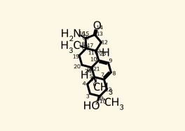 C[C@]1(O)CC[C@@]2(C)C(=CC=C3[C@@H]4CC(=O)[C@H](N)[C@@]4(C)CC[C@@H]32)C1